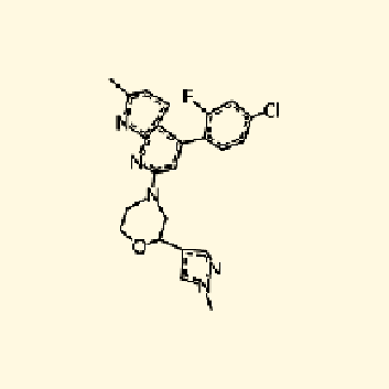 Cc1ccc2c(-c3ccc(Cl)cc3F)cc(N3CCOC(c4cnn(C)c4)C3)nc2n1